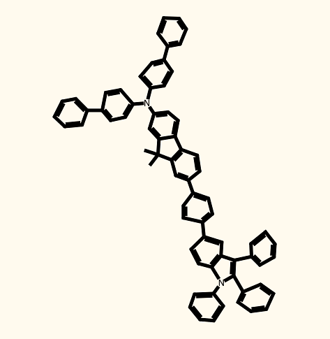 CC1(C)c2cc(-c3ccc(-c4ccc5c(c4)c(-c4ccccc4)c(-c4ccccc4)n5-c4ccccc4)cc3)ccc2-c2ccc(N(c3ccc(-c4ccccc4)cc3)c3ccc(-c4ccccc4)cc3)cc21